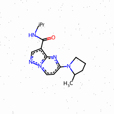 CC(C)NC(=O)c1cnn2ccc(N3CCCC3C)nc12